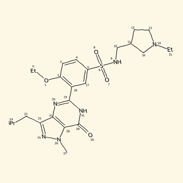 CCOc1ccc(S(=O)(=O)NCC2CCN(CC)C2)cc1-c1nc2c(CC(C)C)nn(C)c2c(=O)[nH]1